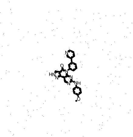 COc1ccc(Nc2ncc3c4n[nH]cc4c(=O)n(-c4cccc(-c5cccnc5)c4)c3n2)cc1